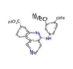 COc1ccc(Nc2nc3cc(C(=O)O)ccc3c3cnccc23)cc1OC